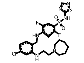 O=S(=O)(Nc1ncns1)c1cc(F)c(NCc2ccc(Cl)cc2NCCN2CCCCCC2)cc1F